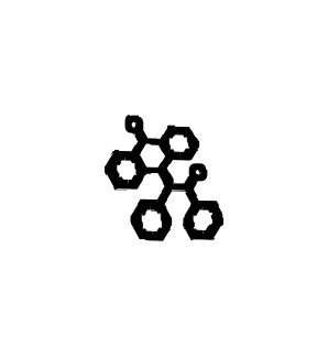 O=C(C(=C1c2ccccc2C(=O)c2ccccc21)c1ccccc1)c1ccccc1